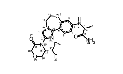 C[C@H](Nc1ccc2c(c1)OCCn1cc(N3C(=O)COC[C@H]3C(F)F)nc1-2)C(N)=O